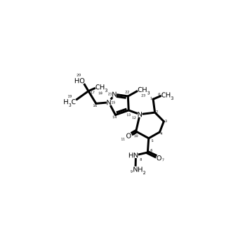 CCC1CCC(C(=O)NN)C(=O)N1c1cn(CC(C)(C)O)nc1C